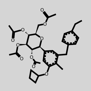 CCc1ccc(Cc2cc([C@@H]3O[C@H](COC(C)=O)[C@@H](OC(C)=O)[C@H](OC(C)=O)[C@H]3OC(C)=O)cc(OC3CCC3)c2C)cc1